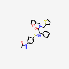 CC(=O)Nc1ccc(SN[C@@H](C(=O)N(Cc2ccco2)Cc2cccs2)c2ccccc2)cc1